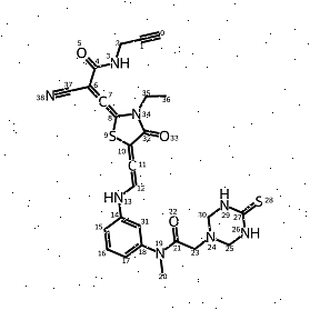 C#CCNC(=O)C(=C=c1sc(=C=CNc2cccc(N(C)C(=O)CN3CNC(=S)NC3)c2)c(=O)n1CC)C#N